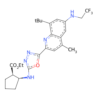 CCOC(=O)[C@@H]1CCC[C@@H]1Nc1nnc(-c2cc(C)c3cc(NCC(F)(F)F)cc(C(C)(C)C)c3n2)o1